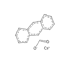 O=C[O-].[Cs+].c1ccc2cc3ccccc3cc2c1